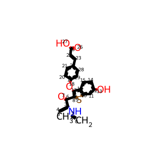 C=CN/C(=C\C)C(=O)c1sc2cc(O)ccc2c1Oc1ccc(/C=C/C(=O)O)cc1